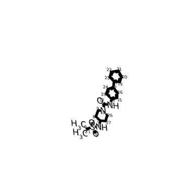 CC(C)S(=O)(=O)NC1CCN(C(=O)Nc2ccc(-c3ccccc3)cc2)CC1